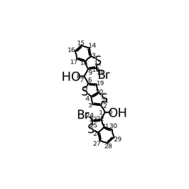 OC(c1cc2sc(C(O)c3c(Br)sc4ccccc34)cc2s1)c1c(Br)sc2ccccc12